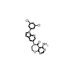 Nc1ncnc2c1C(=O)N(c1cnc3c(ccn3-c3cc(Cl)cc(Cl)c3)c1)CCO2